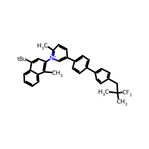 Cc1c(-[n+]2cc(-c3ccc(-c4ccc(CC(C)(C)C(F)(F)F)cc4)cc3)ccc2C)cc(C(C)(C)C)c2ccccc12